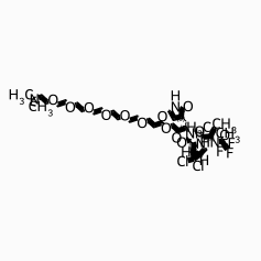 CN(C)CCOCCOCCOCCOCCOCCOCCC(=O)OCC(=O)[C@H](C[C@@H]1CCNC1=O)NC(=O)[C@@H]1[C@@H]2[C@H](CN1C(=O)[C@@H](NC(=O)C(F)(F)F)C(C)(C)C)C2(Cl)Cl